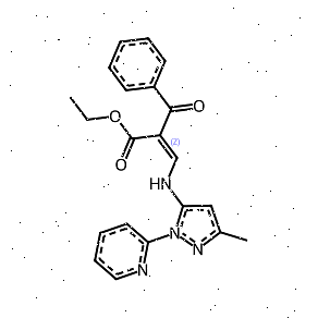 CCOC(=O)/C(=C\Nc1cc(C)nn1-c1ccccn1)C(=O)c1ccccc1